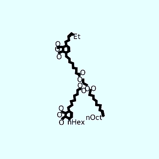 CC/C=C\CCC1C=CC(CCCCCCCC(=O)OCC(COC(=O)CCCCCCC/C=C\CCCCCCCC)OC(=O)CCCCCCCC2C=CC(CCCCCC)C3C(=O)OC(=O)C23)C2C(=O)OC(=O)C12